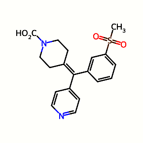 CS(=O)(=O)c1cccc(C(=C2CCN(C(=O)O)CC2)c2ccncc2)c1